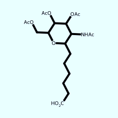 CC(=O)NC1C(CCCCCC(=O)O)OC(COC(C)=O)C(OC(C)=O)C1OC(C)=O